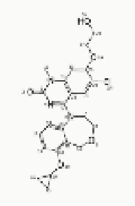 Cn1c(=O)nc(N2CCOCc3c(OC4CC4)cccc32)c2cc(Cl)c(OCCO)cc21